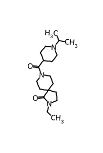 CCN1CCC2(CCN(C(=O)C3CCN(C(C)C)CC3)CC2)C1=O